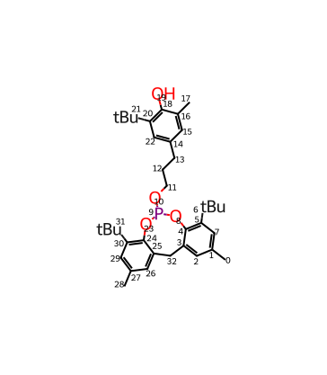 Cc1cc2c(c(C(C)(C)C)c1)OP(OCCCc1cc(C)c(O)c(C(C)(C)C)c1)Oc1c(cc(C)cc1C(C)(C)C)C2